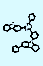 c1ccc(-c2ccc3c(c2)c2ccccc2n3-c2cccc(-c3nc(-c4ccccc4)nc(-c4ccc5c(c4)oc4ccccc45)n3)c2)cc1